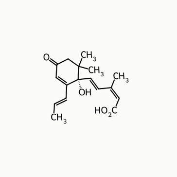 C/C=C/C1=CC(=O)CC(C)(C)[C@@]1(O)/C=C/C(C)=C\C(=O)O